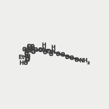 CCc1c2c(nc3ccc(O)cc13)-c1cc3c(c(=O)n1C2)COC(=O)[C@@]3(CC)OC(=O)OCc1ccc(NC(=O)COCC(=O)NCCOCCOCCOCCOCCOCCN)cc1